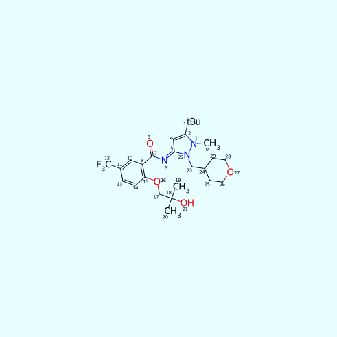 Cn1c(C(C)(C)C)cc(=NC(=O)c2cc(C(F)(F)F)ccc2OCC(C)(C)O)n1CC1CCOCC1